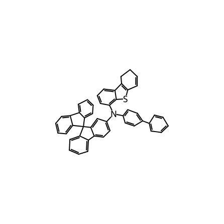 C1=Cc2sc3c(N(c4ccc(-c5ccccc5)cc4)c4ccc5c(c4)C4(c6ccccc6-c6ccccc64)c4ccccc4-5)cccc3c2CC1